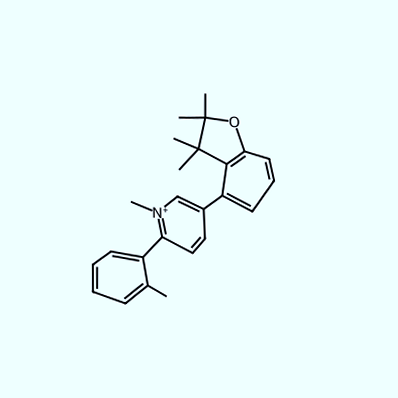 Cc1ccccc1-c1ccc(-c2cccc3c2C(C)(C)C(C)(C)O3)c[n+]1C